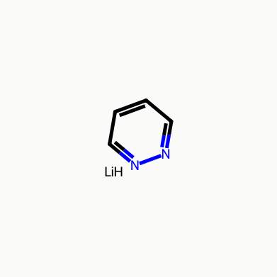 [LiH].c1ccnnc1